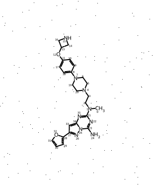 CN(CCN1CCN(c2ccc(OC3CNC3)cc2)CC1)c1nc(N)n2nc(-c3ccco3)cc2n1